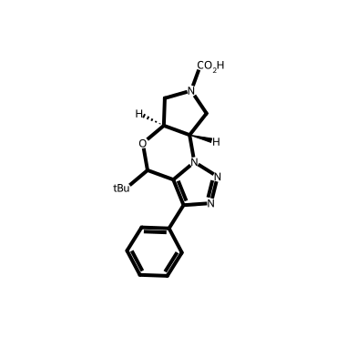 CC(C)(C)C1O[C@H]2CN(C(=O)O)C[C@@H]2n2nnc(-c3ccccc3)c21